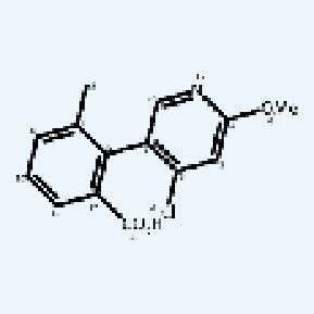 COc1cc(Cl)c(-c2c(C)cccc2C(=O)O)cn1